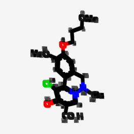 COCCCOc1cc2c(cc1OC)-c1c(Cl)c(=O)c(C(=O)O)cn1N(C(C)(C)C)C2